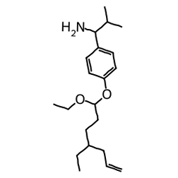 C=CCC(CC)CCC(OCC)Oc1ccc(C(N)C(C)C)cc1